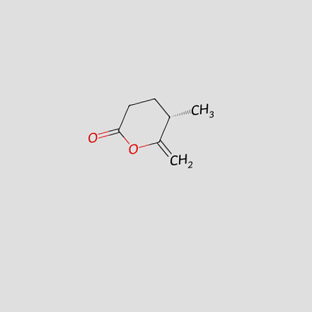 C=C1OC(=O)CC[C@@H]1C